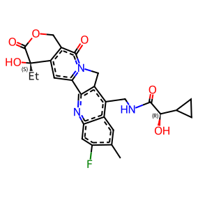 CC[C@@]1(O)C(=O)OCc2c1cc1n(c2=O)Cc2c-1nc1cc(F)c(C)cc1c2CNC(=O)[C@H](O)C1CC1